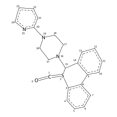 O=C=S1c2ccccc2-c2ccccc2C1N1CCN(c2ccccn2)CC1